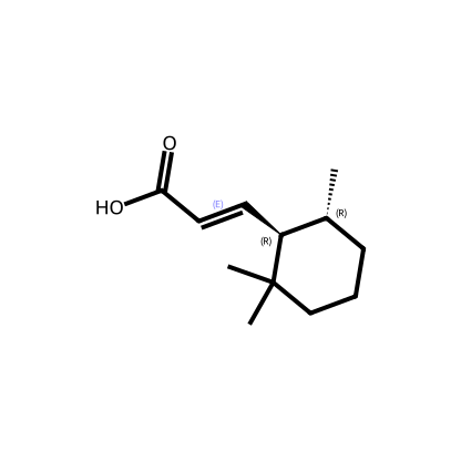 C[C@@H]1CCCC(C)(C)[C@H]1/C=C/C(=O)O